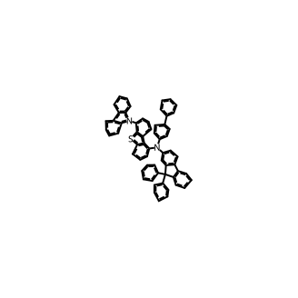 c1ccc(-c2ccc(N(c3ccc4c(c3)C(c3ccccc3)(c3ccccc3)c3ccccc3-4)c3cccc4sc5c(-n6c7ccccc7c7ccccc76)cccc5c34)cc2)cc1